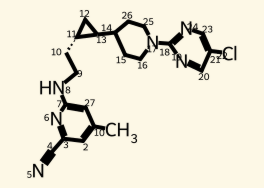 Cc1cc(C#N)nc(NCC[C@@H]2CC2C2CCN(c3ncc(Cl)cn3)CC2)c1